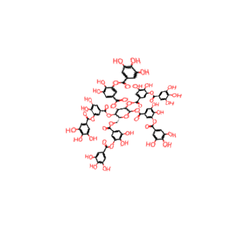 O=C(OC[C@H]1OC(OC(=O)c2cc(O)c(O)c(OC(=O)c3cc(O)c(O)c(O)c3)c2)[C@H](OC(=O)c2cc(O)c(O)c(OC(=O)c3cc(O)c(O)c(O)c3)c2)[C@@H](OC(=O)c2cc(O)c(O)c(OC(=O)c3cc(O)c(O)c(O)c3)c2)[C@@H]1OC(=O)c1cc(O)c(O)c(OC(=O)c2cc(O)c(O)c(O)c2)c1)c1cc(O)c(O)c(OC(=O)c2cc(O)c(O)c(O)c2)c1